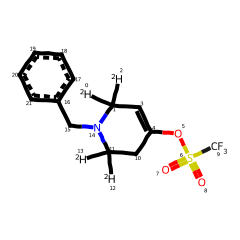 [2H]C1([2H])C=C(OS(=O)(=O)C(F)(F)F)CC([2H])([2H])N1Cc1ccccc1